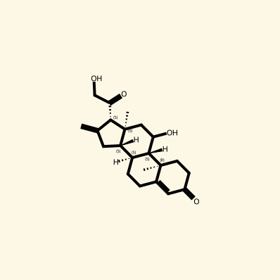 C=C1C[C@H]2[C@@H]3CCC4=CC(=O)CC[C@]4(C)[C@H]3C(O)C[C@]2(C)[C@H]1C(=O)CO